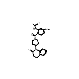 COc1ccc(C(=O)N2CCC(N3C(=O)CCc4ccccc43)CC2)c(NC(C)=O)c1